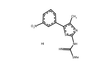 CSC(=N)Nc1nc(C)c(-c2cccc([N+](=O)[O-])c2)s1.I